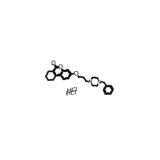 Cl.Cl.O=c1oc2cc(OCCCN3CCN(Cc4ccccc4)CC3)ccc2c2c1CCCC2